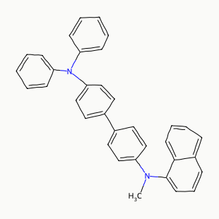 CN(c1ccc(-c2ccc(N(c3ccccc3)c3ccccc3)cc2)cc1)c1cccc2ccccc12